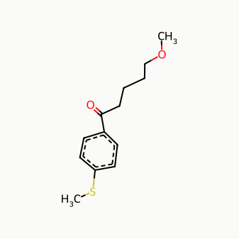 COCCCCC(=O)c1ccc(SC)cc1